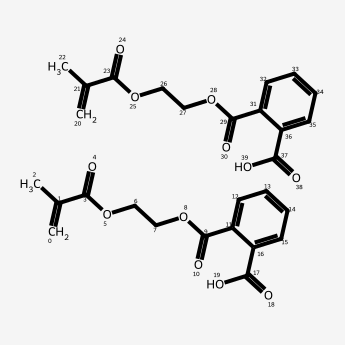 C=C(C)C(=O)OCCOC(=O)c1ccccc1C(=O)O.C=C(C)C(=O)OCCOC(=O)c1ccccc1C(=O)O